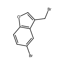 BrCc1coc2ccc(Br)cc12